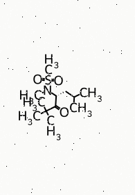 CC(C)C[C@H](C(=O)C(C)(C)C)N(C)S(C)(=O)=O